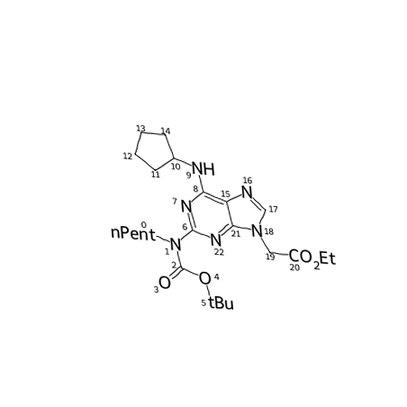 CCCCCN(C(=O)OC(C)(C)C)c1nc(NC2CCCC2)c2ncn(CC(=O)OCC)c2n1